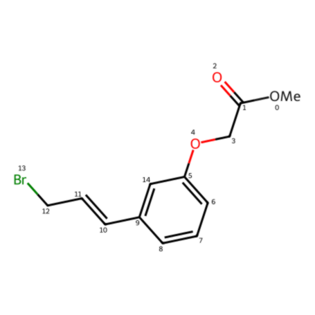 COC(=O)COc1cccc(/C=C/CBr)c1